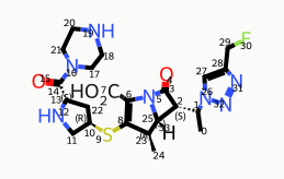 CC([C@H]1C(=O)N2C(C(=O)O)=C(S[C@H]3CN[C@H](C(=O)N4CCNCC4)C3)[C@H](C)[C@H]12)n1cc(CF)nn1